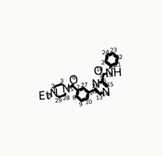 CCN1CCN(C(=O)c2cccc(-c3cncc(C(=O)Nc4ccccc4)n3)c2)CC1